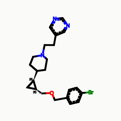 Brc1ccc(COC[C@@H]2C[C@@H]2C2CCN(CCc3cncnc3)CC2)cc1